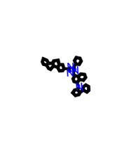 c1ccc(-c2nc(-c3ccc4c(ccc5c6ccccc6ccc45)c3)nc(-c3ccc(-n4c5ccccc5c5ccccc54)c4ccccc34)n2)cc1